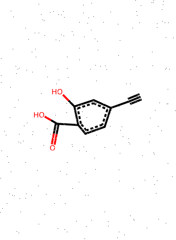 C#Cc1ccc(C(=O)O)c(O)c1